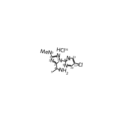 CNc1nc(C(C)N)n(-c2ncc(Cl)cn2)n1.Cl